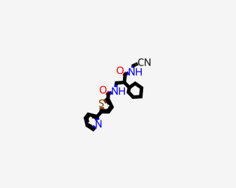 N#CCNC(=O)C(CNC(=O)c1ccc(-c2ccccn2)s1)C1CCCCC1